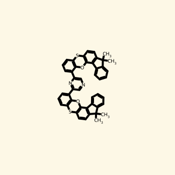 CC1(C)c2ccccc2-c2c1ccc1c2Oc2c(cccc2-c2cncc(-c3cccc4c3Oc3c(ccc5c3-c3ccccc3C5(C)C)S4)n2)S1